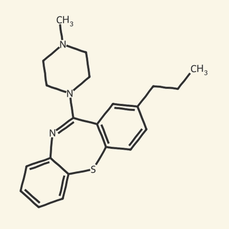 CCCc1ccc2c(c1)C(N1CCN(C)CC1)=Nc1ccccc1S2